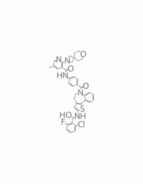 Cc1cnc(N2CC3(CCOCC3)C2)c(C(=O)Nc2ccc(C(=O)N3CCc4cc(NC(O)c5c(F)cccc5Cl)sc4-c4ccccc43)cc2)c1